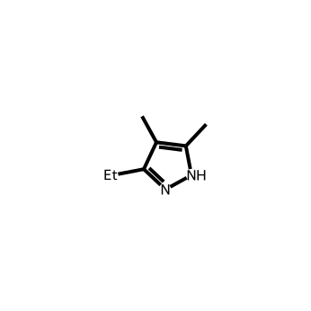 [CH2]Cc1n[nH]c(C)c1C